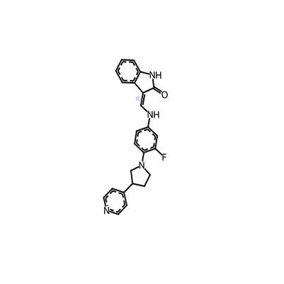 O=C1Nc2ccccc2/C1=C/Nc1ccc(N2CCC(c3ccncc3)C2)c(F)c1